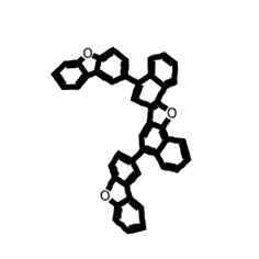 c1ccc2c(c1)oc1ccc(-c3cc4c5cc(-c6ccc7oc8ccccc8c7c6)c6ccccc6c5oc4c4ccccc34)cc12